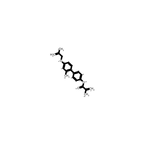 C=C(C)COc1ccc(-c2ccc(OC(=O)C(=C)C)cc2)c(C)c1